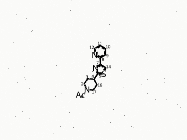 CC(=O)N1CCC(c2nc(-c3ccccn3)cs2)CC1